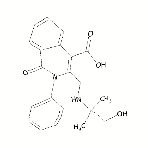 CC(C)(CO)NCc1c(C(=O)O)c2ccccc2c(=O)n1-c1ccccc1